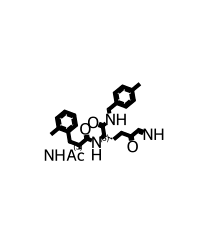 CC(=O)N[C@@H](Cc1ccccc1C)C(=O)N[C@@H](CCC(=O)C=N)C(=O)NCc1ccc(C)cc1